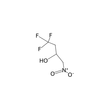 O=[N+]([O-])CC(O)CC(F)(F)F